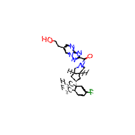 CC1([C@@H]2C[C@@H]3CN(C(=O)c4nc5ncc(CCO)cn5n4)C[C@@H]3C2)C=C(F)C=CC1C(F)(F)F